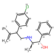 C=C(C(C)C)C(CN[C@H](C)[C@@H](O)c1ccccc1)c1ccc(Cl)cc1